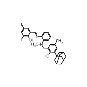 Cc1cc(CN(C)c2ccccc2/N=C/c2cc(I)cc(I)c2O)c(O)c(C23CC4CC(CC(C4)C2)C3)c1